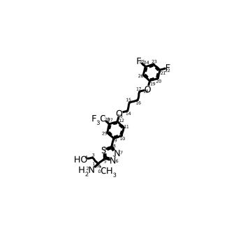 C[C@](N)(CO)c1nnc(-c2ccc(OCCCCOc3cc(F)cc(F)c3)c(C(F)(F)F)c2)s1